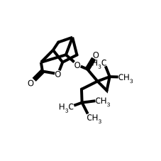 CC(C)(C)CC1(C(=O)OC2C3CC4OC(=O)C2C4C3)CC1(C)C